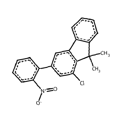 CC1(C)c2ccccc2-c2cc(-c3ccccc3[N+](=O)[O-])cc(Cl)c21